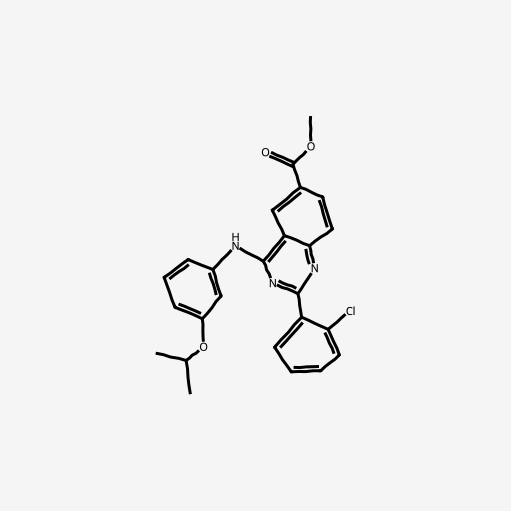 COC(=O)c1ccc2nc(-c3ccccc3Cl)nc(Nc3cccc(OC(C)C)c3)c2c1